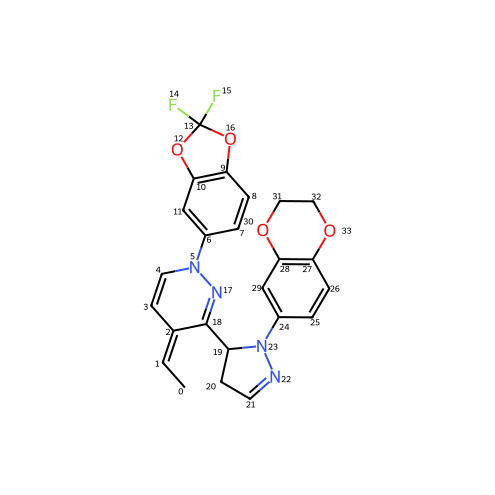 C/C=C1/C=CN(c2ccc3c(c2)OC(F)(F)O3)N=C1C1CC=NN1c1ccc2c(c1)OCCO2